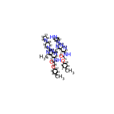 Cc1ccc(OCC(=O)Nc2cnc3nc(N4CC5CC4CN5)nc(C)c3c2)cc1.Cc1ccc(OCC(=O)Nc2cnc3nc(N4CCC(N5CCCC5)CC4)nc(C)c3c2)cc1